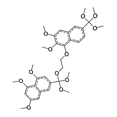 COc1cc(OC)c2c(OC)cc(C(OC)(OC)OCCOc3c(OC)c(OC)cc4cc(C(OC)(OC)OC)ccc34)cc2c1